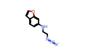 [N-]=[N+]=NCCNc1ccc2ccoc2c1